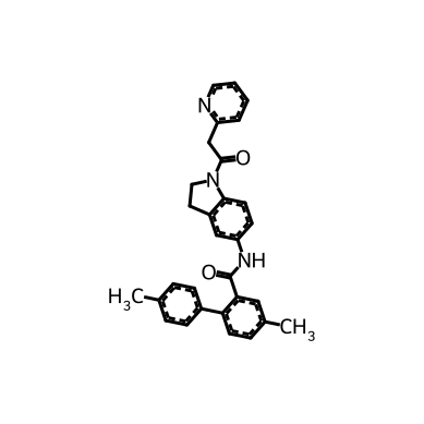 Cc1ccc(-c2ccc(C)cc2C(=O)Nc2ccc3c(c2)CCN3C(=O)Cc2ccccn2)cc1